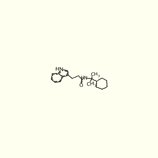 CC(C)(NC(=O)CCc1c[nH]c2ccccc12)C1CCCCC1